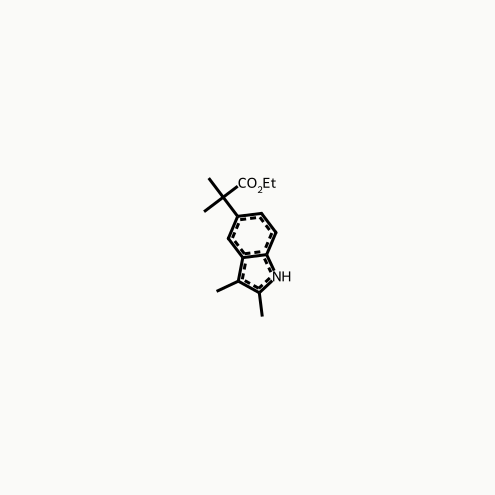 CCOC(=O)C(C)(C)c1ccc2[nH]c(C)c(C)c2c1